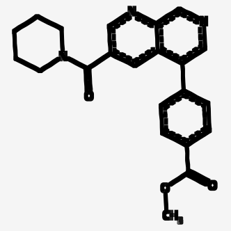 COC(=O)c1ccc(-c2cncc3ncc(C(=O)N4CCCCC4)cc23)cc1